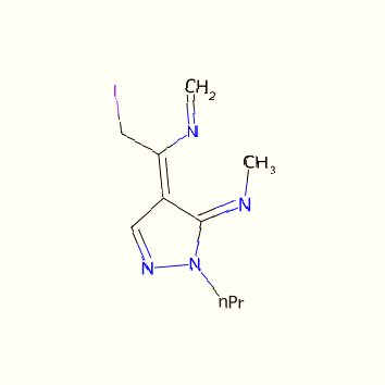 C=N/C(CI)=C1/C=NN(CCC)/C1=N/C